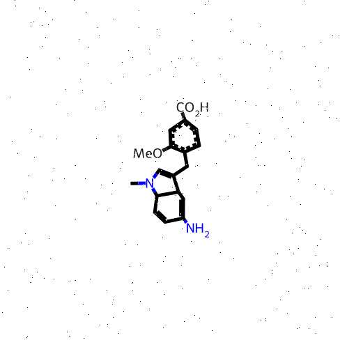 COc1cc(C(=O)O)ccc1CC1=CN(C)C2C=CC(N)=CC12